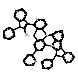 CC1=C(c2nccc3c2Cc2cc(-c4ccccn4)cc4c2B3c2cccc3c5c(n-4c23)C(c2ccccc2)c2ccccc2-5)c2ccccc2C1c1ccccc1